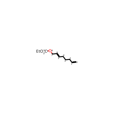 C=CCCCC=CCOC(=O)OCC